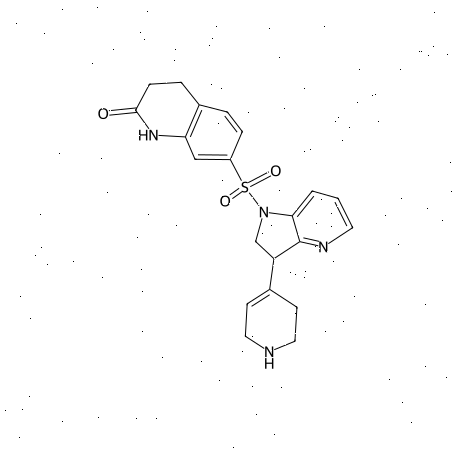 O=C1CCc2ccc(S(=O)(=O)N3CC(C4=CCNCC4)c4ncccc43)cc2N1